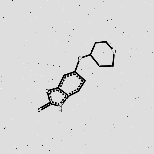 S=c1[nH]c2ccc(OC3CCOCC3)cc2o1